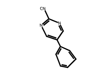 [C-]#[N+]c1ncc(-c2ccccc2)cn1